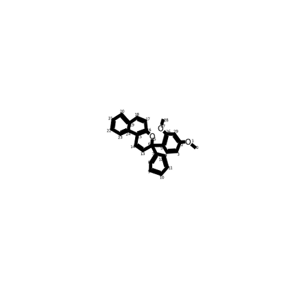 COc1ccc(C2(c3ccccc3)C=Cc3c(ccc4ccccc34)O2)c(OC)c1